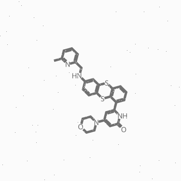 Cc1cccc(CNc2ccc3c(c2)Sc2cccc(-c4cc(N5CCOCC5)cc(=O)[nH]4)c2S3)n1